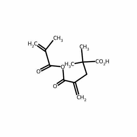 C=C(C)C(=O)OC(=O)C(=C)CC(C)(C)C(=O)O